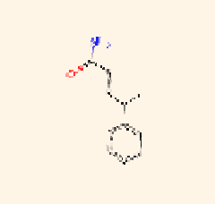 CC(C=CC(N)=O)c1ccccc1